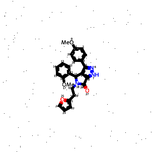 COc1ccc(-c2n[nH]c3c2C(c2ccccc2OC)N(CCc2ccco2)C3=O)cc1